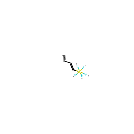 C=C/C=C/S(F)(F)(F)(F)F